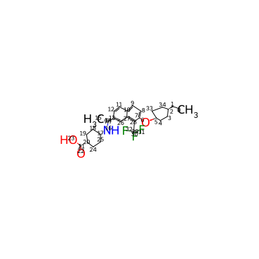 CC[C@H]1CC[C@@H](Oc2ccc3ccc([C@@H](C)N[C@H]4CC[C@@H](C(=O)O)CC4)cc3c2C(F)(F)F)CC1